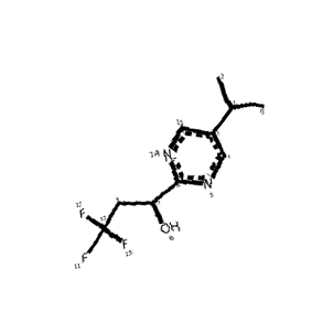 CC(C)c1cnc(C(O)CC(F)(F)F)nc1